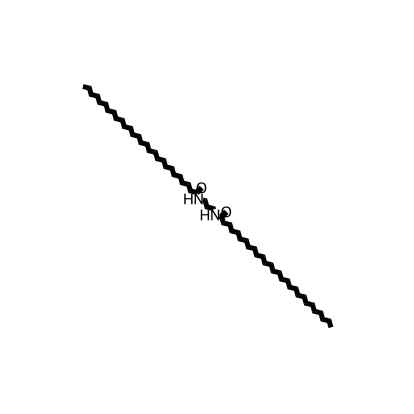 CCCCCCCCCCCCCCCCCCCCCCCCCCCC(=O)NCCCNC(=O)CCCCCCCCCCCCCCCCCCCCCCCCCCC